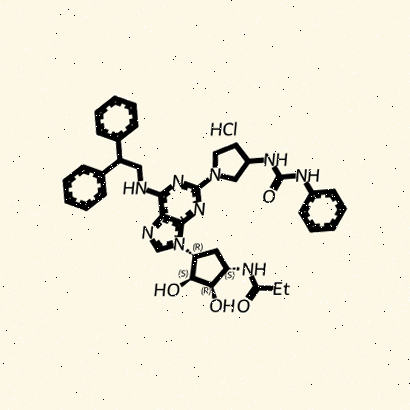 CCC(=O)N[C@H]1C[C@@H](n2cnc3c(NCC(c4ccccc4)c4ccccc4)nc(N4CCC(NC(=O)Nc5ccccc5)C4)nc32)[C@H](O)[C@@H]1O.Cl